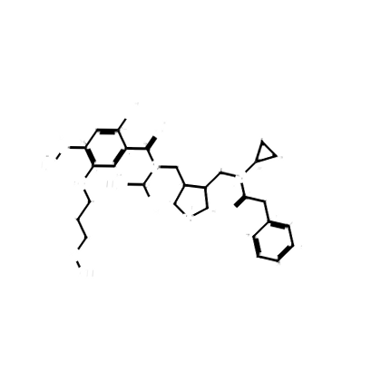 COCCCOc1cc(C(=O)N(CC2CNCC2CN(C(=O)Cc2ccccc2)C2CC2)C(C)C)c(Cl)cc1OC